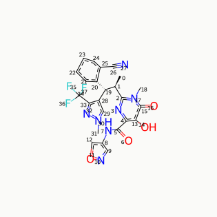 C[C@@H](c1nc(C(=O)Nc2cnoc2)c(O)c(=O)n1C)[C@@H](c1ccccc1C#N)c1cn(C)nc1C(F)(F)F